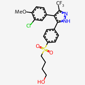 COc1ccc(-c2c(C(F)(F)F)n[nH]c2-c2ccc(S(=O)(=O)CCCCO)cc2)cc1Cl